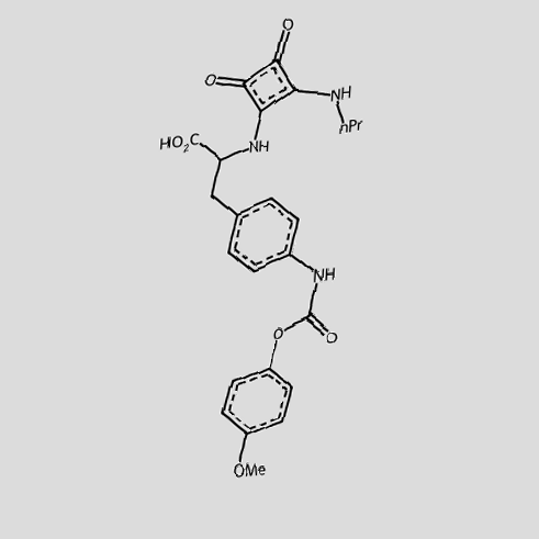 CCCNc1c(NC(Cc2ccc(NC(=O)Oc3ccc(OC)cc3)cc2)C(=O)O)c(=O)c1=O